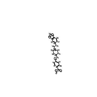 COC(=O)c1ccc(OCC2CCN(CCc3ccc4c(c3)OCO4)CC2)cc1